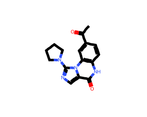 CC(=O)c1ccc2[nH]c(=O)c3cnc(N4CCCC4)n3c2c1